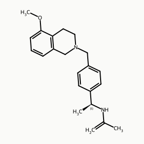 C=C(C)N[C@@H](C)c1ccc(CN2CCc3c(cccc3OC)C2)cc1